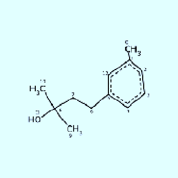 Cc1cccc(CCC(C)(C)O)c1